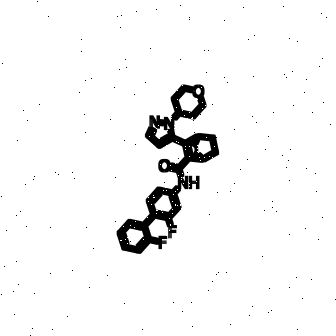 O=C(Nc1ccc(-c2ccccc2F)c(F)c1)C1=C(c2ccnn2C2CCOCC2)C2CCC1O2